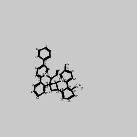 C=CC1[n+]2cc(-c3ccccc3)ccc2-c2ccccc2C12CC1c3cccc(C(F)(F)F)c3-c3ccc(C)c[n+]3C12